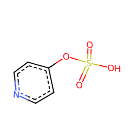 O=S(=O)(O)Oc1ccncc1